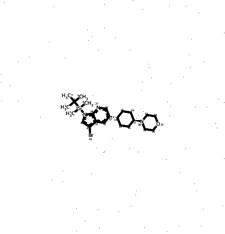 CC(C)(C)[Si](C)(C)n1cc(Br)c2cc([C@H]3CC[C@H](N4CCOCC4)CC3)cnc21